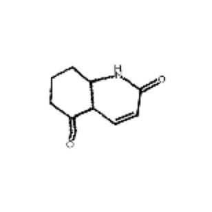 O=C1C=CC2C(=O)CCCC2N1